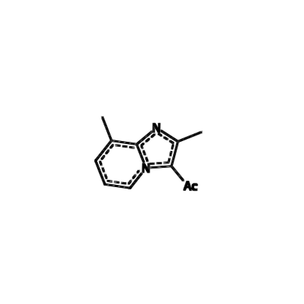 CC(=O)c1c(C)nc2c(C)cccn12